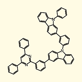 c1ccc(-c2cc(-c3ccccc3)nc(-c3cccc(-c4ccc5c(c4)c4ccccc4n5-c4cccc(-c5ccc6c7ccccc7n(-c7ccccc7)c6c5)c4)c3)n2)cc1